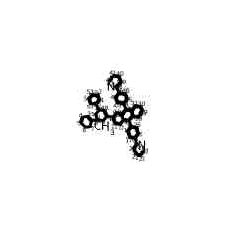 CC1(C2=CC=CCC2)CC(c2ccc3c(-c4ccc(-c5ccccn5)cc4)c4ccccc4c(-c4ccc(-c5ccccn5)cc4)c3c2)=CC(c2ccccc2)C1